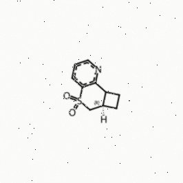 O=S1(=O)C[C@@H]2CCC2c2ncccc21